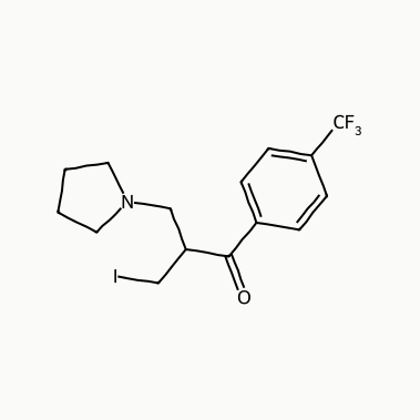 O=C(c1ccc(C(F)(F)F)cc1)C(CI)CN1CCCC1